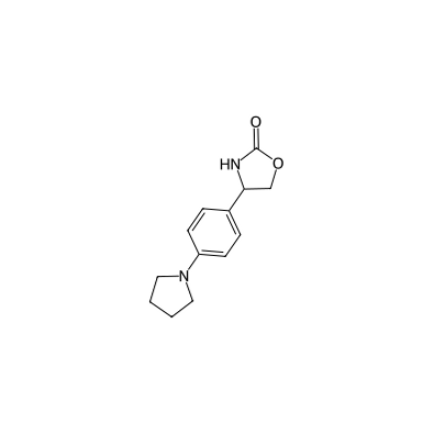 O=C1NC(c2ccc(N3CCCC3)cc2)CO1